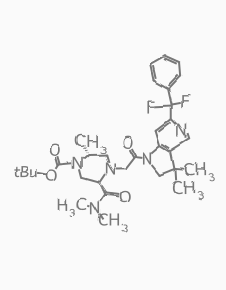 C[C@@H]1CN(CC(=O)N2CC(C)(C)c3cnc(C(F)(F)c4ccccc4)cc32)[C@@H](C(=O)N(C)C)CN1C(=O)OC(C)(C)C